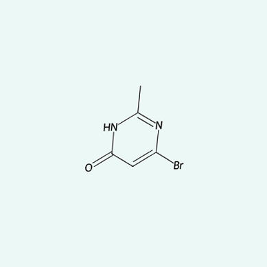 Cc1nc(Br)cc(=O)[nH]1